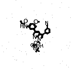 C=CC(=O)Nc1cc(OC)cc(-c2cnc3c(c2)c(-c2cccc(C#N)c2)cn3C(C)OP(=O)(O)OC(C)(C)C)c1